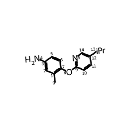 Cc1cc(N)ccc1Oc1ccc(C(C)C)cn1